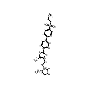 CCCS(=O)(=O)c1ccc(-c2ccc(-c3nc(CCN4CCC[C@H]4C)c(C)o3)cc2)cc1